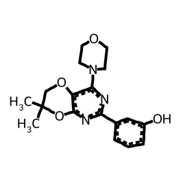 CC1(C)COc2c(nc(-c3cccc(O)c3)nc2N2CCOCC2)O1